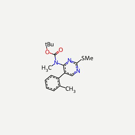 CSc1ncc(-c2ccccc2C)c(N(C)C(=O)OC(C)(C)C)n1